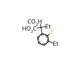 CCc1cccc(C(CC)(C(=O)O)C(=O)O)c1F